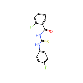 O=C(NC(=S)Nc1ccc(F)cc1)c1ccccc1F